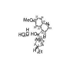 CC[C@@H]1CN2CCC1C[C@@H]2C(O)c1ccnc2ccc(OC)cc12.Cl.Cl